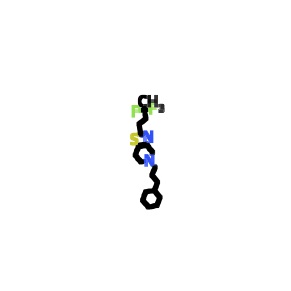 CC(F)(F)CCc1nc2c(s1)CCN(CCCC1CCCCC1)C2